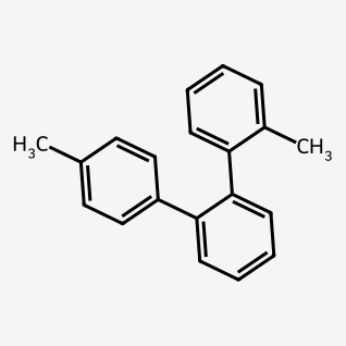 Cc1ccc(-c2ccccc2-c2ccccc2C)cc1